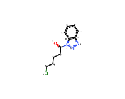 O=C(CCCCCl)n1nnc2ccccc21